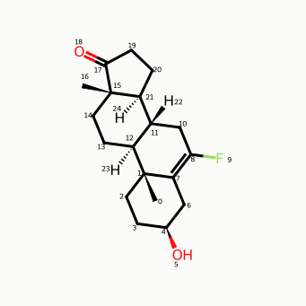 C[C@]12CC[C@H](O)CC1=C(F)C[C@@H]1[C@@H]2CC[C@]2(C)C(=O)CC[C@@H]12